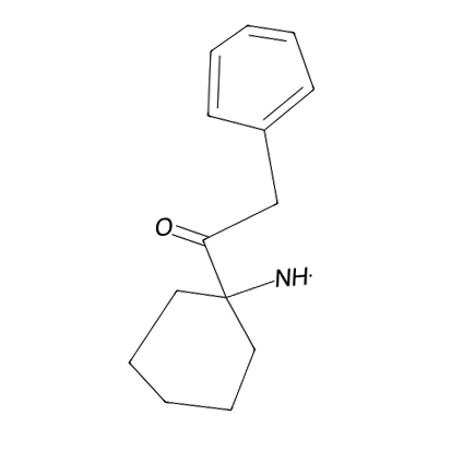 [NH]C1(C(=O)Cc2ccccc2)CCCCC1